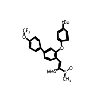 CS/C(=C\c1ccc(-c2ccc(OC(F)(F)F)cc2)cc1Oc1ccc(C(C)(C)C)cc1)[S+](C)[O-]